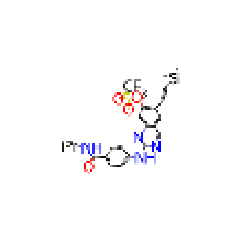 CC(C)NC(=O)c1ccc(Nc2ncc3cc(C#C[Si](C)(C)C)c(OS(=O)(=O)C(F)(F)F)cc3n2)cc1